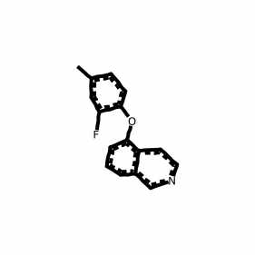 Cc1ccc(Oc2cccc3cnccc23)c(F)c1